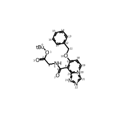 CC(C)(C)OC(=O)CNC(=O)c1c(OCc2ccccc2)ccn2cnnc12